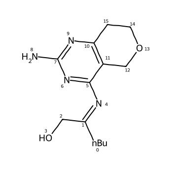 CCCC/C(CO)=N/c1nc(N)nc2c1COCC2